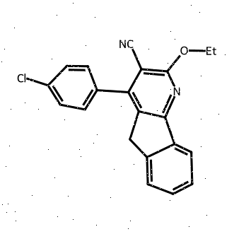 CCOc1nc2c(c(-c3ccc(Cl)cc3)c1C#N)Cc1ccccc1-2